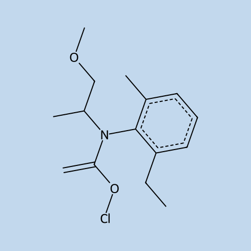 C=C(OCl)N(c1c(C)cccc1CC)C(C)COC